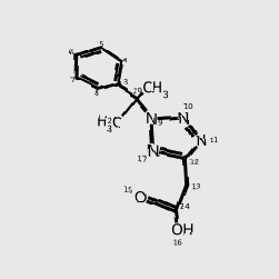 CC(C)(c1ccccc1)n1nnc(CC(=O)O)n1